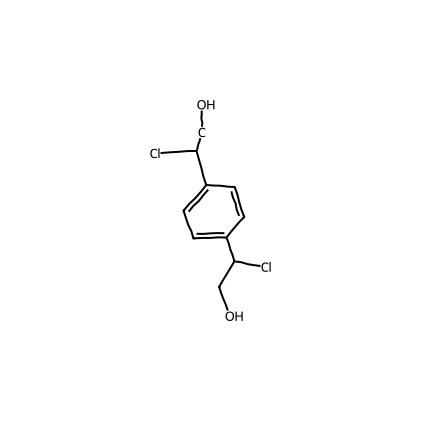 OCC(Cl)c1ccc(C(Cl)CO)cc1